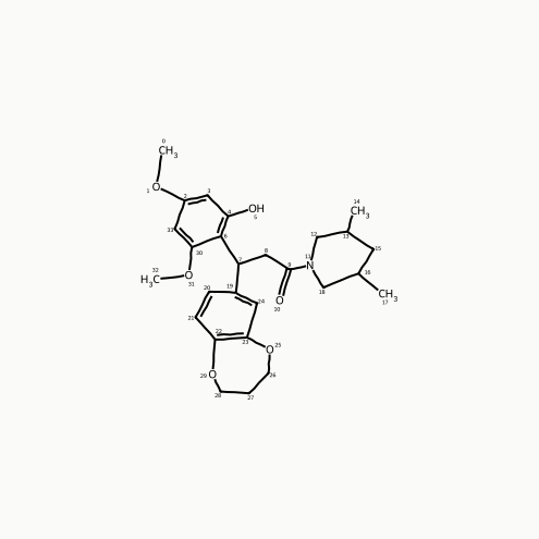 COc1cc(O)c(C(CC(=O)N2CC(C)CC(C)C2)c2ccc3c(c2)OCCCO3)c(OC)c1